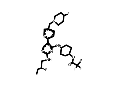 CC[C@H](F)CNc1ncc(-c2ccc(CN3CCC(F)CC3)cn2)c(NC2CCC(OC(=O)C(F)(F)F)CC2)n1